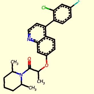 CC(Oc1ccc2c(-c3ccc(F)cc3Cl)ccnc2c1)C(=O)N1C(C)CCCC1C